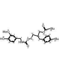 COc1cc(CNC(=O)OSCC(COC(=O)C(C)(C)C)Cc2ccc(C(C)(C)C)cc2)ccc1O